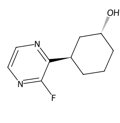 O[C@@H]1CCC[C@@H](c2nccnc2F)C1